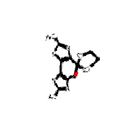 CC(=O)c1nc2c(s1)-c1sc(C(C)=O)nc1C1(OCCO1)C21OCCO1